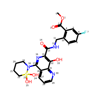 COC(=O)c1cc(F)ccc1CNC(=O)c1nc(N2CCCCS2(O)O)c2cccnc2c1O